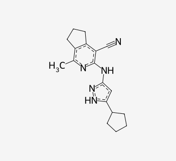 Cc1nc(Nc2cc(C3CCCC3)[nH]n2)c(C#N)c2c1CCC2